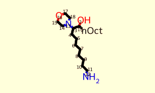 CCCCCCCCC(O)C(CCCCCCCCN)N1CCOCC1